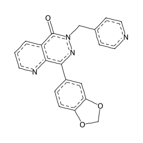 O=c1c2cccnc2c(-c2ccc3c(c2)OCO3)nn1Cc1ccncc1